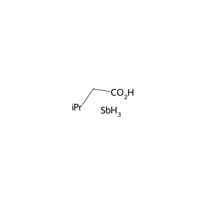 CC(C)CC(=O)O.[SbH3]